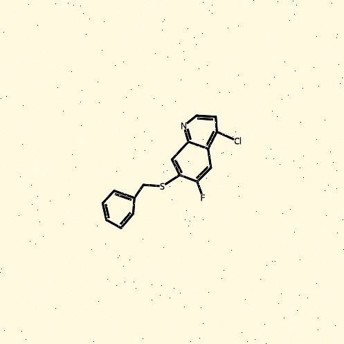 Fc1cc2c(Cl)ccnc2cc1SCc1ccccc1